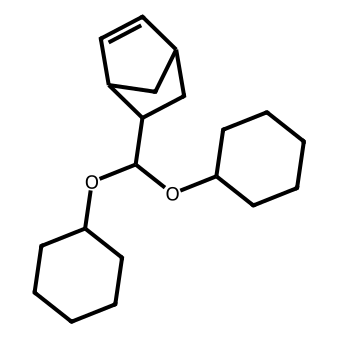 C1=CC2CC1CC2C(OC1CCCCC1)OC1CCCCC1